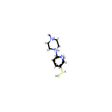 CN1CCN(c2ccc(SF)cn2)CC1